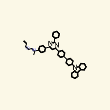 C=C/C=C\C=C(/C)c1ccc(-c2cc(-c3ccc(-c4ccc(-n5c6ccccc6c6ccccc65)cc4)cc3)nc(-c3ccccc3)n2)cc1